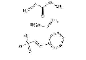 C=CC#N.C=CC(=O)OC.O=S(=O)([O-])C=Cc1ccccc1.[Na+]